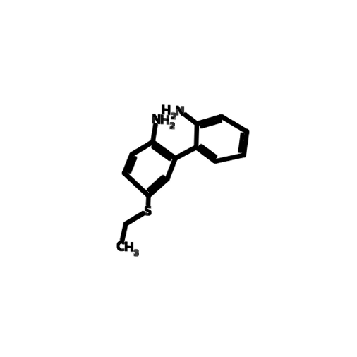 CCSc1ccc(N)c(-c2ccccc2N)c1